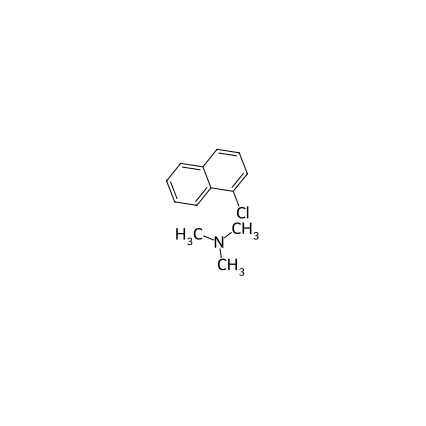 CN(C)C.Clc1cccc2ccccc12